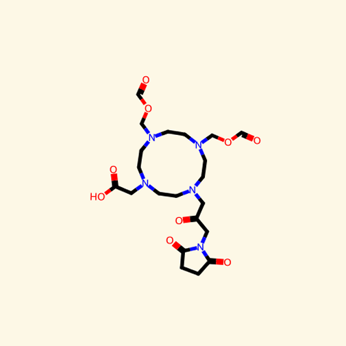 O=COCN1CCN(COC=O)CCN(CC(=O)CN2C(=O)CCC2=O)CCN(CC(=O)O)CC1